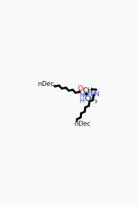 CCCCCCCCCCCCCCCCCCC1=NCCN1C(C)(C)NC(=O)CCCCCCCCCCCCCCCCC